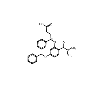 CN(C)C(=O)c1ccc(OCc2ccccc2)cc1O[C@@H](CCC(=O)O)c1ccccc1